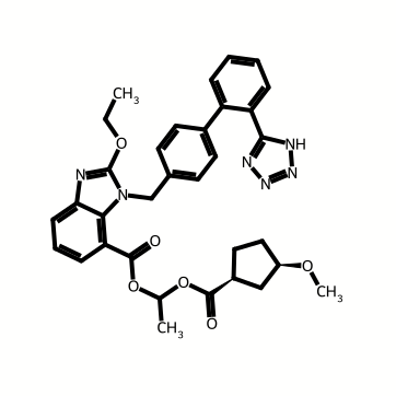 CCOc1nc2cccc(C(=O)OC(C)OC(=O)[C@H]3CC[C@@H](OC)C3)c2n1Cc1ccc(-c2ccccc2-c2nnn[nH]2)cc1